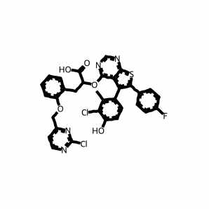 Cc1c(-c2c(-c3ccc(F)cc3)sc3ncnc(OC(Cc4ccccc4OCc4ccnc(Cl)n4)C(=O)O)c23)ccc(O)c1Cl